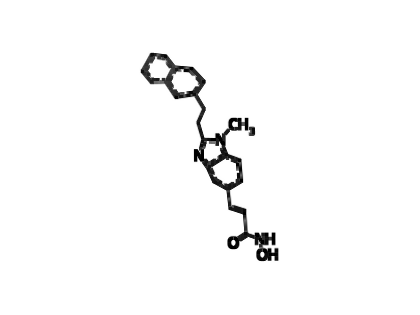 Cn1c(CCc2ccc3ccccc3c2)nc2cc(/C=C/C(=O)NO)ccc21